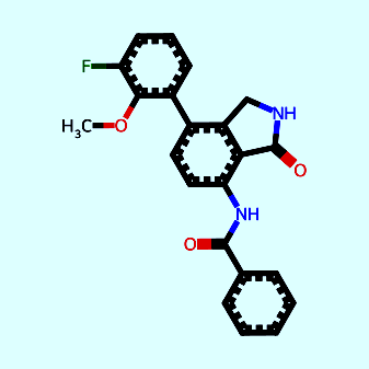 COc1c(F)cccc1-c1ccc(NC(=O)c2ccccc2)c2c1CNC2=O